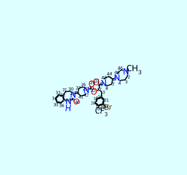 CN1CCCN(C2CCN(C(=O)[C@@H](Cc3ccc(C(F)(F)F)c(Br)c3)OC(=O)N3CCC(N4CCc5ccccc5NC4=O)CC3)CC2)CC1